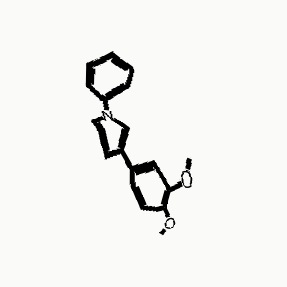 COc1ccc(-c2ccn(-c3ccccc3)c2)cc1OC